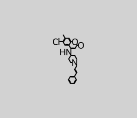 Cc1cc2oc(=O)cc(NC3CCN(C/C=C/c4ccccc4)CC3)c2cc1Cl